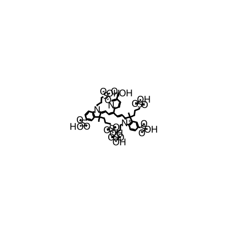 CC1(CCCS(=O)(=O)O)C(/C=C/C(=C/C=C2/N(CCCS(=O)(=O)O)c3ccc(S(=O)(=O)O)cc3C2(C)CCCS(=O)(=O)O)c2ccc(C(=O)O)cn2)=[N+](CCCS(=O)(=O)O)c2ccc(S(=O)(=O)O)cc21